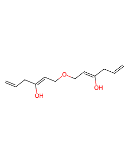 C=CCC(O)=CCOCC=C(O)CC=C